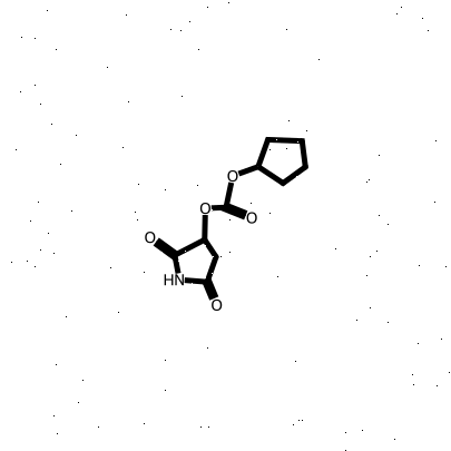 O=C1CC(OC(=O)OC2CCCC2)C(=O)N1